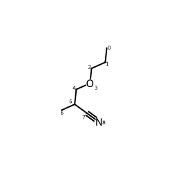 CCCOCC(C)C#N